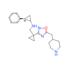 c1ccc([C@H]2CC2NCC2(c3noc(CC4CCNCC4)n3)CC2)cc1